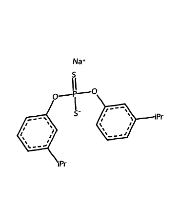 CC(C)c1cccc(OP(=S)([S-])Oc2cccc(C(C)C)c2)c1.[Na+]